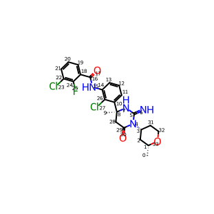 C[C@@H]1C[C@H](N2C(=N)N[C@](C)(c3cccc(NC(=O)c4cccc(Cl)c4F)c3Cl)CC2=O)CCO1